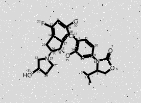 CC(C)C1COC(=O)N1c1ccc(Cl)c(O[C@H]2c3cc(Cl)cc(F)c3C[C@@H]2N2CCC(O)C2)c1